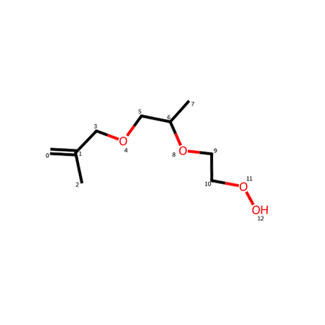 C=C(C)COCC(C)OCCOO